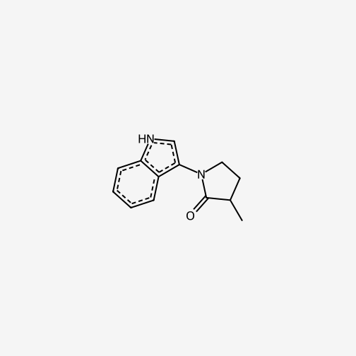 CC1CCN(c2c[nH]c3ccccc23)C1=O